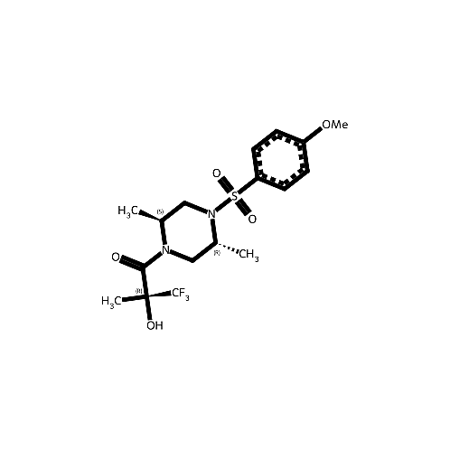 COc1ccc(S(=O)(=O)N2C[C@H](C)N(C(=O)[C@@](C)(O)C(F)(F)F)C[C@H]2C)cc1